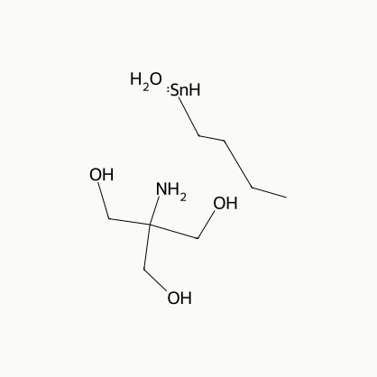 CCC[CH2][SnH].NC(CO)(CO)CO.O